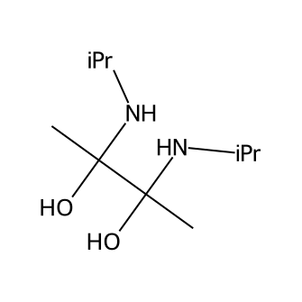 CC(C)NC(C)(O)C(C)(O)NC(C)C